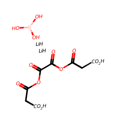 O=C(O)CC(=O)OC(=O)C(=O)OC(=O)CC(=O)O.OB(O)O.[LiH].[LiH]